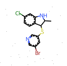 CC1Nc2cc(Cl)ccc2C1Sc1cncc(Br)c1